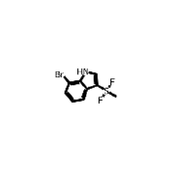 CS(F)(F)c1c[nH]c2c(Br)cccc12